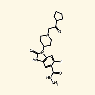 CNC(=O)c1cc2[nH]c(=O)n(C3CCN(CC(=O)C4CCCC4)CC3)c2cc1F